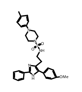 COc1ccc(-c2[nH]c(-c3ccccc3)nc2CCNS(=O)(=O)N2CCN(c3ccc(C)cc3)CC2)cc1